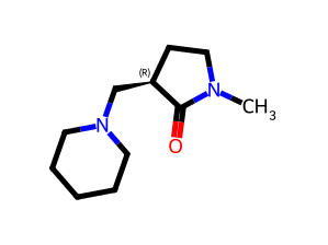 CN1CC[C@H](CN2CCCCC2)C1=O